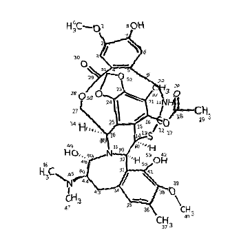 COc1cc2c(cc1O)CCNCS[C@@H]1c3c(OC(C)=O)c(C)c4c(c3[C@H](COC2=O)N2[C@@H]1c1c(cc(C)c(OC)c1O)C[C@@H](N(C)C)[C@@H]2O)OCO4